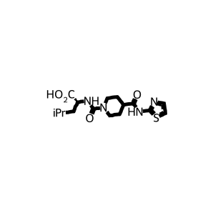 CC(C)C[C@H](NC(=O)N1CCC(C(=O)Nc2nccs2)CC1)C(=O)O